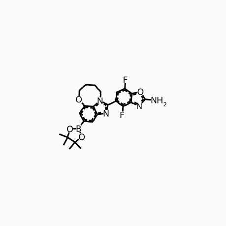 CC1(C)OB(c2cc3c4c(c2)nc(-c2cc(F)c5oc(N)nc5c2F)n4CCCCO3)OC1(C)C